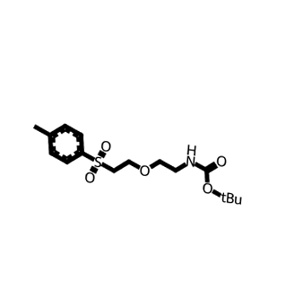 Cc1ccc(S(=O)(=O)CCOCCNC(=O)OC(C)(C)C)cc1